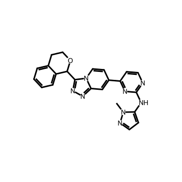 Cn1nccc1Nc1nccc(-c2ccn3c(C4OCCc5ccccc54)nnc3c2)n1